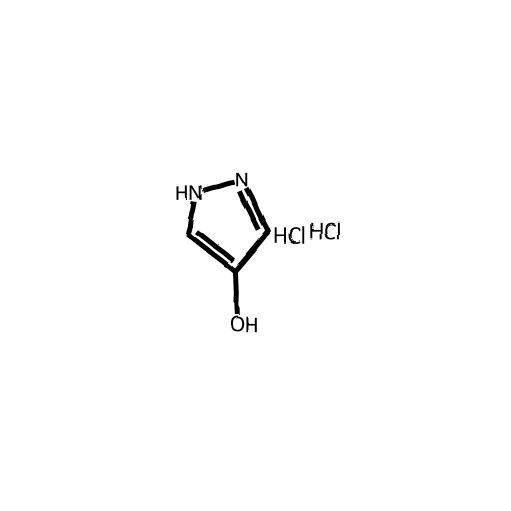 Cl.Cl.Oc1cn[nH]c1